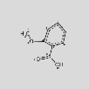 COc1ccccc1S(=O)O